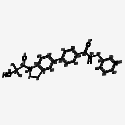 CC(C)(O)C(=O)N1CCc2cc(-c3ccc(C(=O)NCc4cccnc4)cc3)ccc21